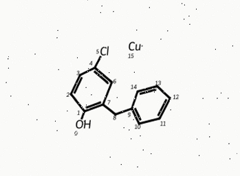 Oc1ccc(Cl)cc1Cc1ccccc1.[Cu]